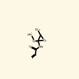 C=CC(=O)NC1(OCCC)OC1CC